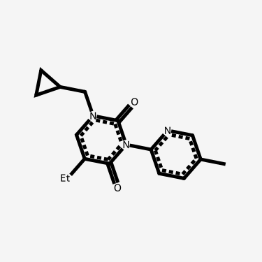 CCc1cn(CC2CC2)c(=O)n(-c2ccc(C)cn2)c1=O